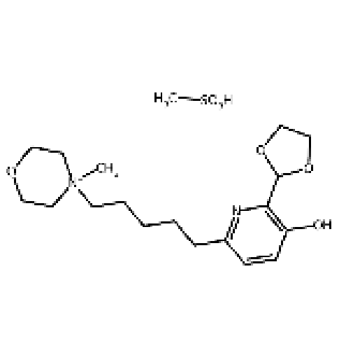 CS(=O)(=O)O.C[N+]1(CCCCCc2ccc(O)c(C3OCCO3)n2)CCOCC1